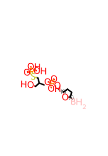 B[C@H]1CC[C@@H](COP(=O)(O)OCC(CO)CSP(=O)(O)O)O1